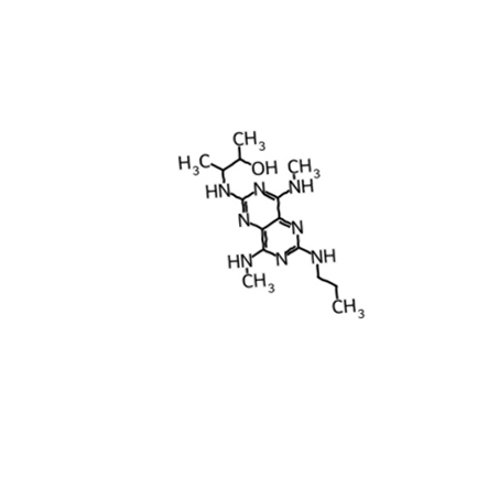 CCCNc1nc(NC)c2nc(NC(C)C(C)O)nc(NC)c2n1